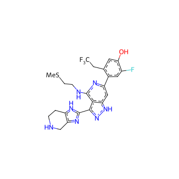 CSCCNc1nc(-c2cc(F)c(O)cc2CC(F)(F)F)cc2[nH]nc(-c3nc4c([nH]3)CCNC4)c12